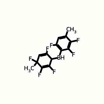 Cc1cc(F)c(BC2C(F)=CC(C)(F)C(F)=C2F)c(F)c1F